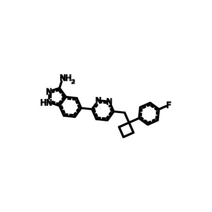 Nc1n[nH]c2ccc(-c3ccc(CC4(c5ccc(F)cc5)CCC4)nn3)cc12